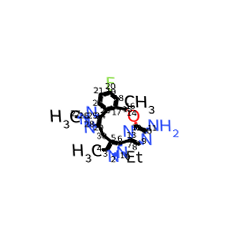 CCn1nc(C)c2c1-c1cnc(N)c(n1)O[C@H](C)c1cc(F)ccc1-c1nn(C)nc1C2